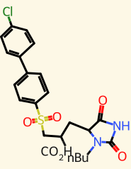 CCCCN1C(=O)NC(=O)C1CC(CS(=O)(=O)c1ccc(-c2ccc(Cl)cc2)cc1)C(=O)O